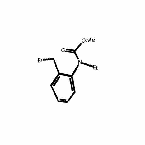 CCN(C(=O)OC)c1ccccc1CBr